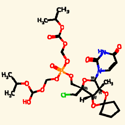 CC(C)OC(=O)OCOP(=O)(OCOC(O)OC(C)C)OC[C@@]1(CCl)O[C@@H](n2ccc(=O)[nH]c2=O)[C@]2(C)OC3(CCCC3)O[C@H]12